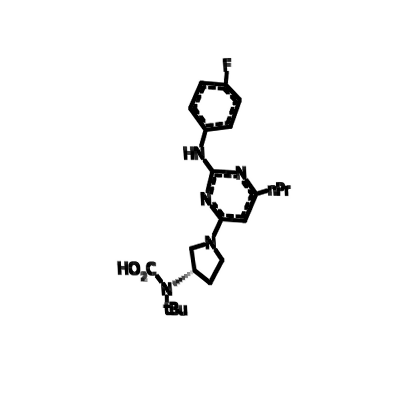 CCCc1cc(N2CC[C@H](N(C(=O)O)C(C)(C)C)C2)nc(Nc2ccc(F)cc2)n1